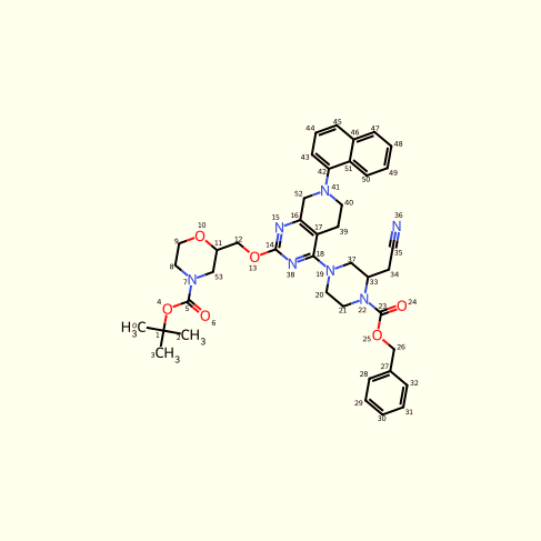 CC(C)(C)OC(=O)N1CCOC(COc2nc3c(c(N4CCN(C(=O)OCc5ccccc5)C(CC#N)C4)n2)CCN(c2cccc4ccccc24)C3)C1